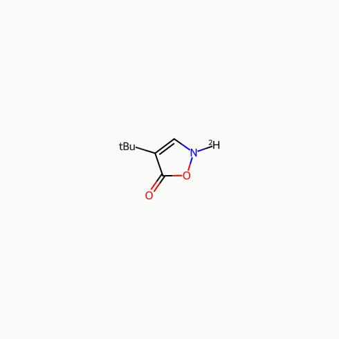 [2H]n1cc(C(C)(C)C)c(=O)o1